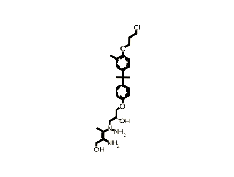 C/C(=C(/N)CO)N(N)C[C@@H](O)COc1ccc(C(C)(C)c2ccc(OCCCCl)c(C)c2)cc1